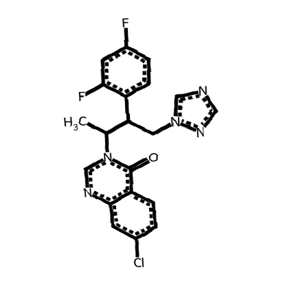 CC(C(Cn1cncn1)c1ccc(F)cc1F)n1cnc2cc(Cl)ccc2c1=O